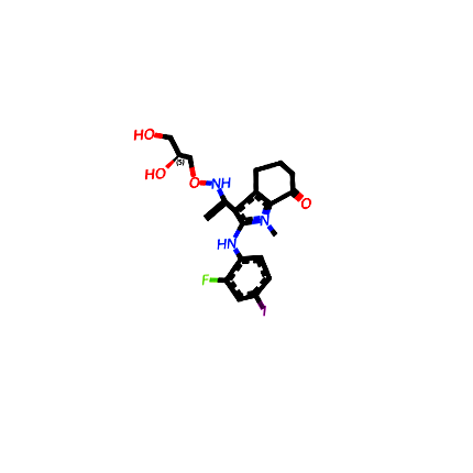 C=C(NOC[C@@H](O)CO)c1c2c(n(C)c1Nc1ccc(I)cc1F)C(=O)CCC2